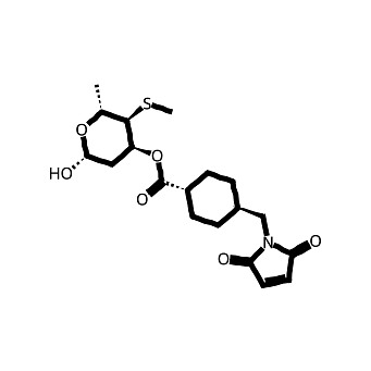 CS[C@H]1[C@@H](OC(=O)[C@H]2CC[C@H](CN3C(=O)C=CC3=O)CC2)C[C@H](O)O[C@@H]1C